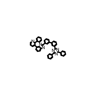 c1ccc(-c2nc(-c3ccccc3)nc(-c3cccc(-c4cccc(-c5nc6cccc7c6n5-c5ccccc5-c5ncccc5-7)c4)c3)n2)cc1